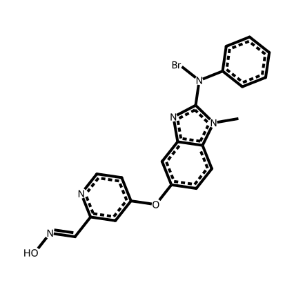 Cn1c(N(Br)c2ccccc2)nc2cc(Oc3ccnc(/C=N/O)c3)ccc21